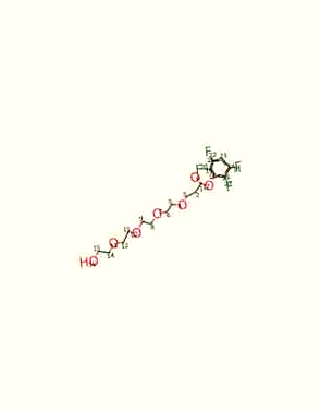 O=C(CCOCCOCCOCCOCCO)Oc1c(F)c(F)cc(F)c1F